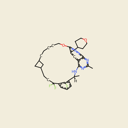 Cc1nc2c3cc(C4CCOCC4)c(nc3n1)OCCCCCC1CC(CCC(F)(F)c3cccc(c3F)[C@@H](C)N2)C1